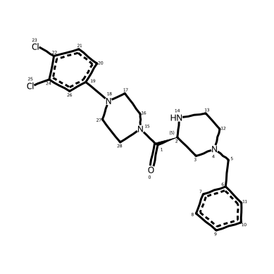 O=C([C@@H]1CN(Cc2ccccc2)CCN1)N1CCN(c2ccc(Cl)c(Cl)c2)CC1